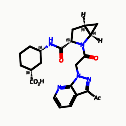 CC(=O)c1nn(CC(=O)N2[C@@H]3C[C@@H]3C[C@H]2C(=O)N[C@H]2CCC[C@@H](C(=O)O)C2)c2ncccc12